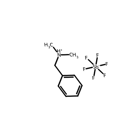 C[NH+](C)Cc1ccccc1.[F][Sb-]([F])([F])([F])([F])[F]